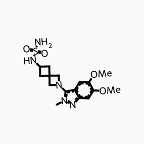 COc1cc2nn(C)c(N3CC4(CC(NS(N)(=O)=O)C4)C3)c2cc1OC